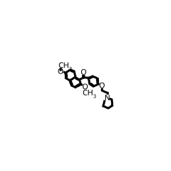 COc1ccc2c(C(=O)c3ccc(OCCN4CCCCC4)cc3)c(OC)ccc2c1